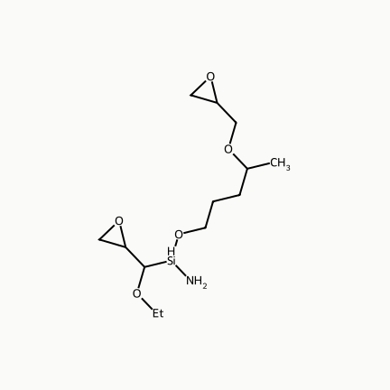 CCOC(C1CO1)[SiH](N)OCCCC(C)OCC1CO1